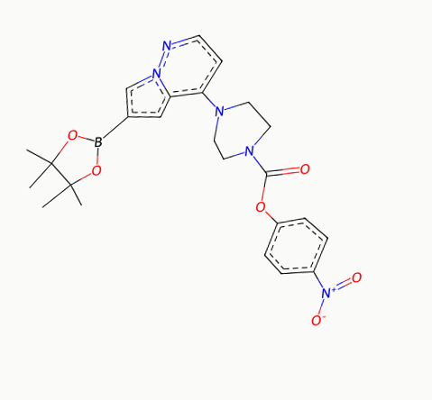 CC1(C)OB(c2cc3c(N4CCN(C(=O)Oc5ccc([N+](=O)[O-])cc5)CC4)ccnn3c2)OC1(C)C